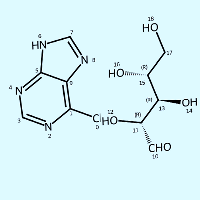 Clc1ncnc2[nH]cnc12.O=C[C@H](O)[C@H](O)[C@H](O)CO